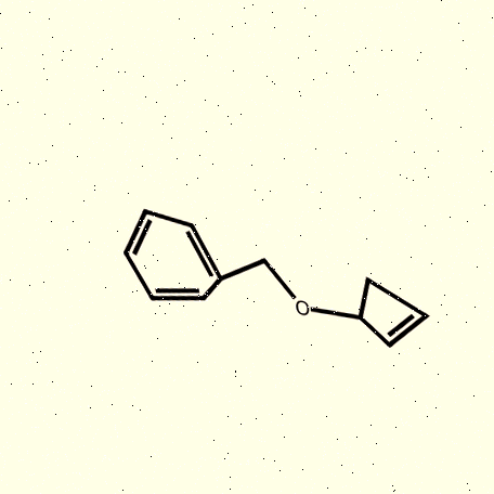 C1=CC(OCc2ccccc2)C1